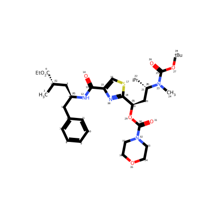 CCOC(=O)[C@@H](C)C[C@H](Cc1ccccc1)NC(=O)c1csc([C@@H](C[C@H](C(C)C)N(C)C(=O)OC(C)(C)C)OC(=O)N2CCOCC2)n1